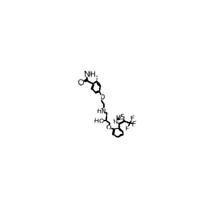 NC(=O)c1ccc(OCCNCC(O)COc2ccccc2-c2nnsc2C(F)(F)F)cc1